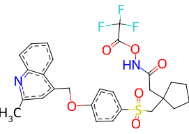 Cc1cc(COc2ccc(S(=O)(=O)CC3(CC(=O)NOC(=O)C(F)(F)F)CCCC3)cc2)c2ccccc2n1